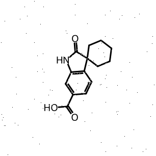 O=C(O)c1ccc2c(c1)NC(=O)C21CCCCC1